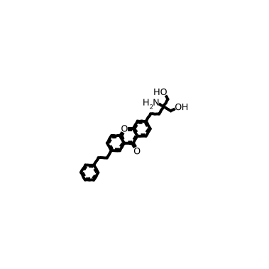 NC(CO)(CO)CCc1ccc2c(=O)c3cc(CCc4ccccc4)ccc3oc2c1